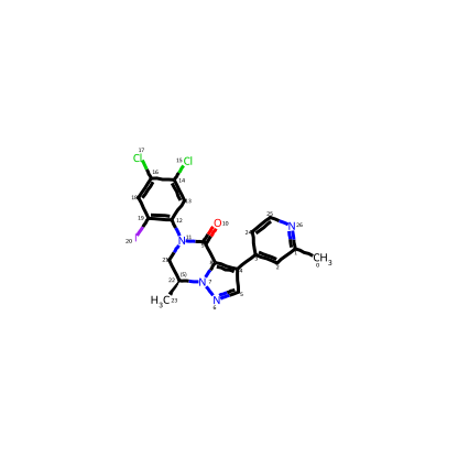 Cc1cc(-c2cnn3c2C(=O)N(c2cc(Cl)c(Cl)cc2I)C[C@@H]3C)ccn1